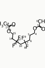 CC(=O)OCCCC(F)(F)CC(F)(F)CCOC(C)=O